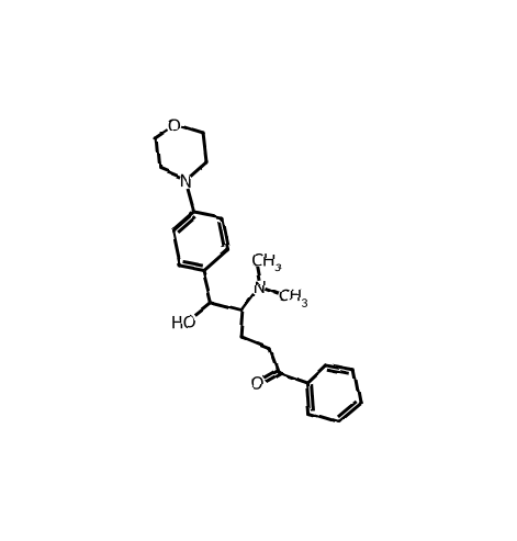 CN(C)C(CCC(=O)c1ccccc1)C(O)c1ccc(N2CCOCC2)cc1